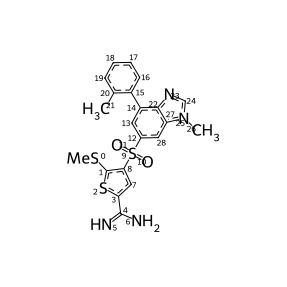 CSc1sc(C(=N)N)cc1S(=O)(=O)c1cc(-c2ccccc2C)c2ncn(C)c2c1